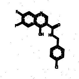 O=C(NCc1ccc(Cl)cc1)c1cnc2cc(F)c(F)cc2c1O